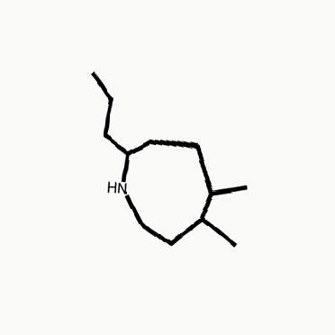 CCCC1CCC(C)C(C)CCN1